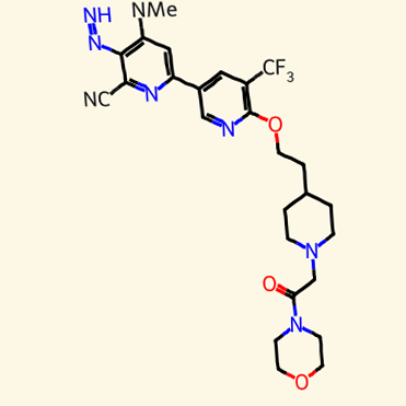 CNc1cc(-c2cnc(OCCC3CCN(CC(=O)N4CCOCC4)CC3)c(C(F)(F)F)c2)nc(C#N)c1N=N